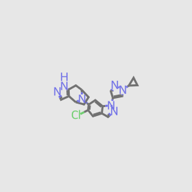 Clc1cc2cnn(-c3cnn(C4CC4)c3)c2cc1N1C2CCC1c1cn[nH]c1C2